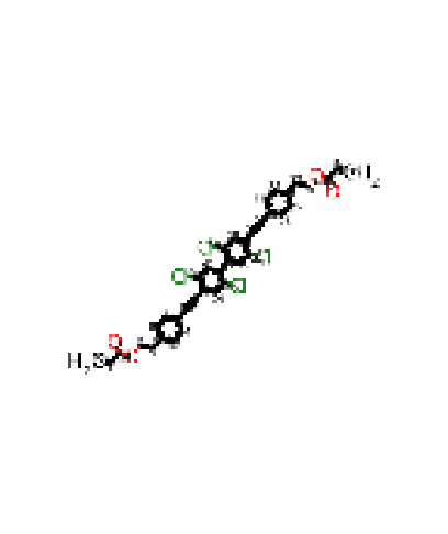 C=CC(=O)OCCc1ccc(C#Cc2cc(Cl)c(-c3cc(Cl)c(C#Cc4ccc(CCOC(=O)C=C)cc4)cc3Cl)cc2Cl)cc1